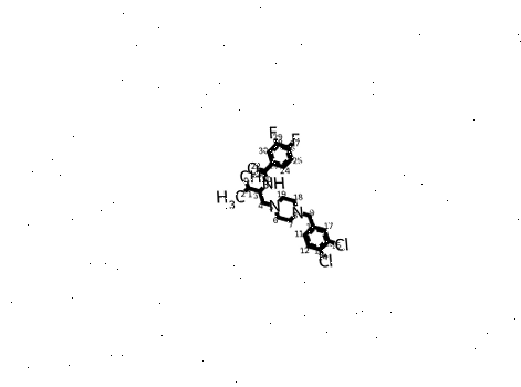 CC(C)C(CN1CCN(Cc2ccc(Cl)c(Cl)c2)CC1)NC(=O)c1ccc(F)c(F)c1